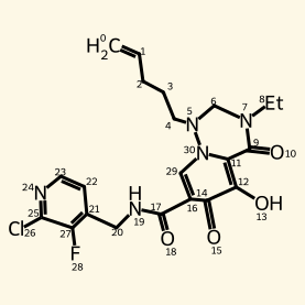 C=CCCCN1CN(CC)C(=O)c2c(O)c(=O)c(C(=O)NCc3ccnc(Cl)c3F)cn21